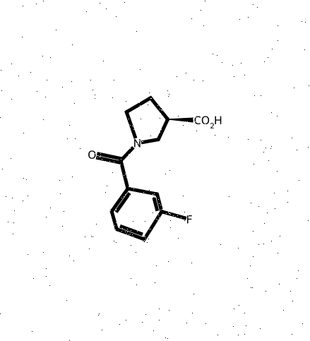 O=C(O)[C@@H]1CCN(C(=O)c2cc[c]c(F)c2)C1